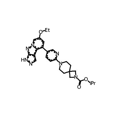 CCOc1cc(-c2ccc(N3CCC4(CC3)CN(C(=O)OC(C)C)C4)nc2)c2c3cn[nH]c3nn2c1